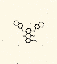 Nc1cccc2c1C(=O)c1c(Sc3ccc4c(c3)CCCC4)ccc(Sc3ccc4c(c3)CCCC4)c1C2=O